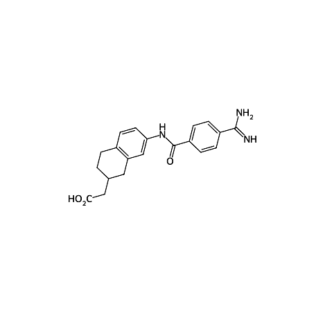 N=C(N)c1ccc(C(=O)Nc2ccc3c(c2)CC(CC(=O)O)CC3)cc1